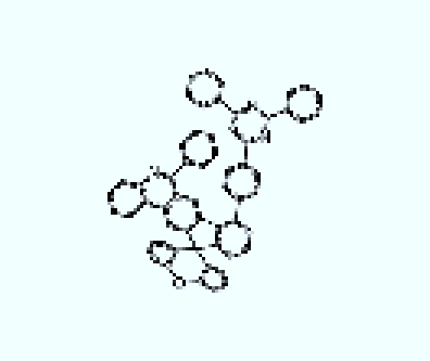 c1ccc(-c2nc(-c3ccccc3)nc(-c3ccc(-c4cccc5c4-c4cc6c(-c7ccccc7)nc7ccccc7c6cc4C54c5ccccc5Oc5ccccc54)cc3)n2)cc1